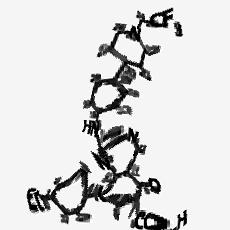 CCc1ccc(-n2cc(C(=O)O)c(=O)c3cnc(Nc4ccc(C5CCN(CC(F)(F)F)CC5)cc4)nc32)cc1